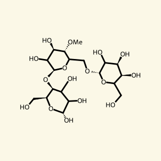 CO[C@@H]1C(CO[C@H]2OC(CO)[C@H](O)[C@H](O)C2O)O[C@@H](O[C@H]2C(O)C(O)[C@H](O)O[C@H]2CO)C(O)[C@H]1O